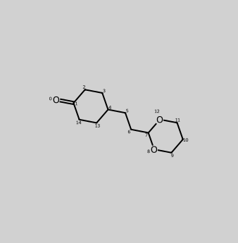 O=C1CCC(CCC2OCCCO2)CC1